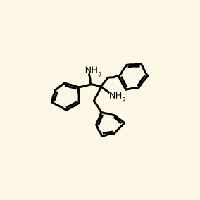 NC(c1ccccc1)C(N)(Cc1ccccc1)Cc1ccccc1